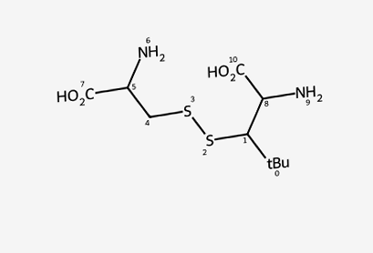 CC(C)(C)C(SSCC(N)C(=O)O)C(N)C(=O)O